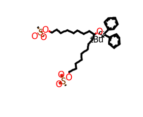 CC(C)(C)[Si](OC(CCCCCCCCOS(C)(=O)=O)CCCCCCCCOS(C)(=O)=O)(c1ccccc1)c1ccccc1